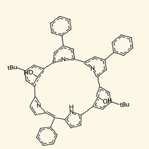 CC(C)(C)c1cc2c(O)c(c1)-c1cc(-c3ccccc3)cc(n1)-c1cc(-c3ccccc3)cc(n1)-c1cc(C(C)(C)C)cc(c1O)-c1ccc([nH]1)/C(c1ccccc1)=C1/C=CC2=N1